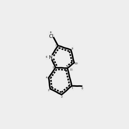 Cc1cccc2nc(Cl)ccc12